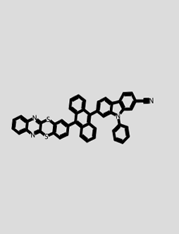 N#Cc1ccc2c3ccc(-c4c5ccccc5c(-c5ccc6c(c5)Sc5nc7ccccc7nc5S6)c5ccccc45)cc3n(-c3ccccc3)c2c1